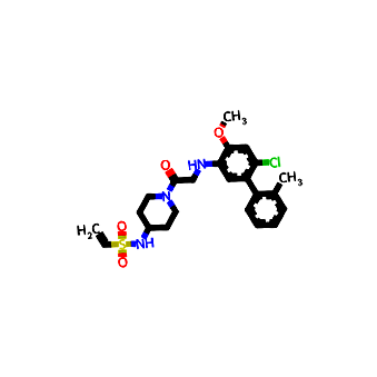 C=CS(=O)(=O)NC1CCN(C(=O)CNc2cc(-c3ccccc3C)c(Cl)cc2OC)CC1